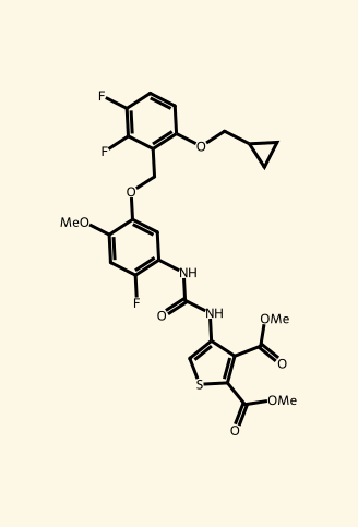 COC(=O)c1scc(NC(=O)Nc2cc(OCc3c(OCC4CC4)ccc(F)c3F)c(OC)cc2F)c1C(=O)OC